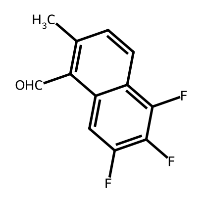 Cc1ccc2c(F)c(F)c(F)cc2c1C=O